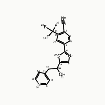 N#Cc1ccc(-c2ncc(C(O)Cc3ccncc3)s2)cc1C(F)(F)F